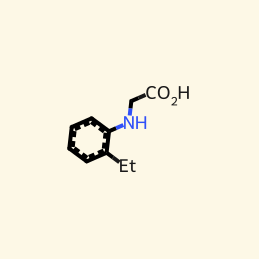 CCc1ccccc1NCC(=O)O